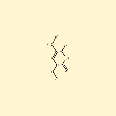 C=COCC.CCCC=COF